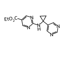 CCOC(=O)c1cnc(NC2(c3cncnc3)CC2)nc1